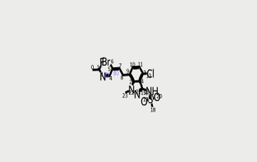 CC(F)/N=C\C(Br)=C/Cc1ccc(Cl)c2c(NS(C)(=O)=O)nn(C)c12